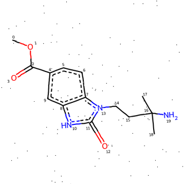 COC(=O)c1ccc2c(c1)[nH]c(=O)n2CCC(C)(C)N